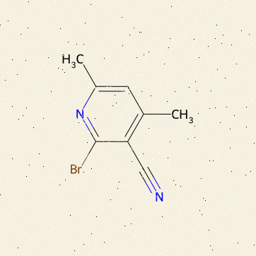 Cc1cc(C)c(C#N)c(Br)n1